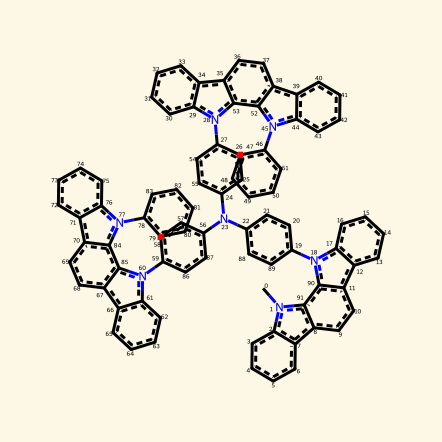 Cn1c2ccccc2c2ccc3c4ccccc4n(-c4ccc(N(c5ccc(-n6c7ccccc7c7ccc8c9ccccc9n(-c9ccccc9)c8c76)cc5)c5ccc(-n6c7ccccc7c7ccc8c9ccccc9n(-c9ccccc9)c8c76)cc5)cc4)c3c21